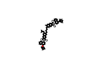 CC(C)=Cc1cc2cc3c(cc2cc1CCCCc1cc2cc4c(cc2cc1C)C(=O)N(c1ccc(C2CC5C=CC2C5)c2ccccc12)C4=O)C(=O)N(c1ccc(C2CC4C=CC2C4)c2ccccc12)C3=O